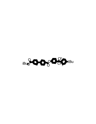 CCC(C)OC(=O)c1ccc(-c2ccc(C(=O)Oc3ccc(C(c4ccc(C(C)(C)C)cc4)(C(F)(F)F)C(F)(F)F)cc3)cc2)cc1